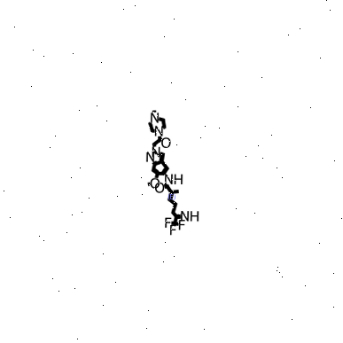 COc1cc2nn(CC(=O)N3CCN(C)CC3)cc2cc1NC(=O)/C(C)=C/CCC(=N)C(F)(F)F